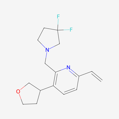 C=Cc1ccc(C2CCOC2)c(CN2CCC(F)(F)C2)n1